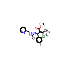 COC(=O)C(=C(C)C)C(NC(C)SCc1ccccn1)c1ccc(F)cc1Cl